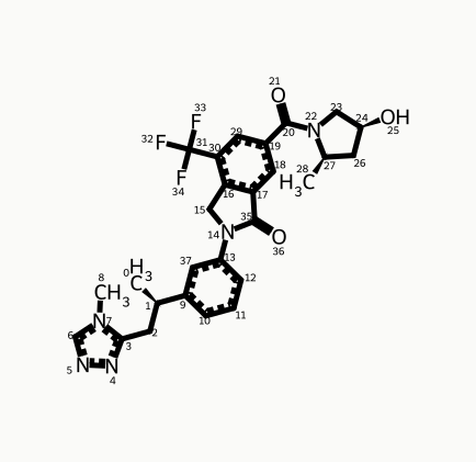 C[C@H](Cc1nncn1C)c1cccc(N2Cc3c(cc(C(=O)N4C[C@@H](O)C[C@H]4C)cc3C(F)(F)F)C2=O)c1